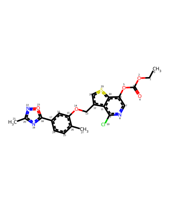 CCOC(=O)Oc1cnc(Cl)c2c(COc3cc(-c4nc(C)no4)ccc3C)csc12